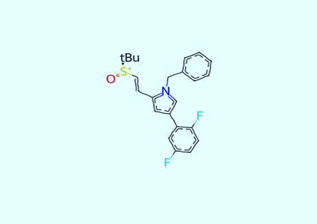 CC(C)(C)[S@+]([O-])/C=C/c1cc(-c2cc(F)ccc2F)cn1Cc1ccccc1